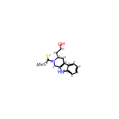 CSC(=S)N1Cc2[nH]c3ccccc3c2C[C@@H]1CCO